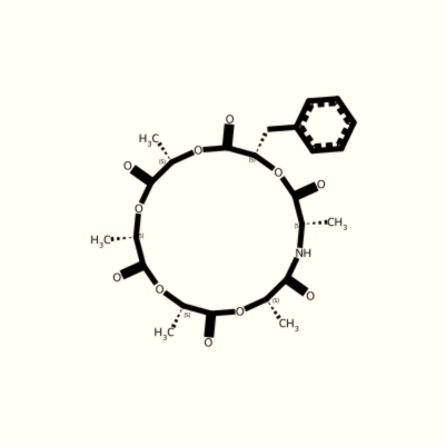 C[C@@H]1NC(=O)[C@H](C)OC(=O)[C@H](C)OC(=O)[C@H](C)OC(=O)[C@H](C)OC(=O)[C@H](Cc2ccccc2)OC1=O